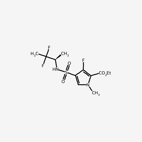 CCOC(=O)c1c(F)c(S(=O)(=O)N[C@H](C)C(C)(F)F)cn1C